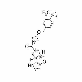 O=C(N1CC(OCc2ccc(C3(C(F)(F)F)CC3)cc2)C1)N1C[C@H]2COc3cn[nH]c3[C@H]2C1